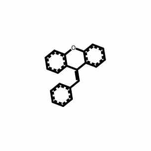 C(=C1c2ccccc2Oc2ccccc21)c1ccccc1